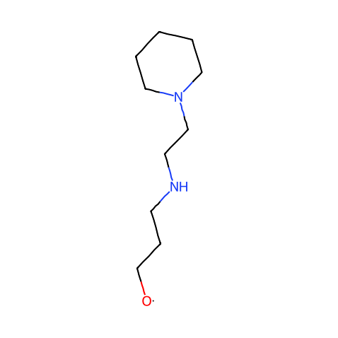 [O]CCCNCCN1CCCCC1